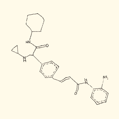 Nc1ccccc1NC(=O)/C=C/c1ccc(C(NC2CC2)C(=O)NC2CCCCC2)cc1